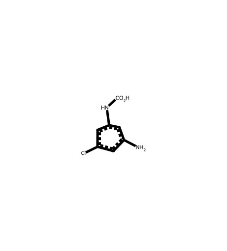 Nc1cc(Cl)cc(NC(=O)O)c1